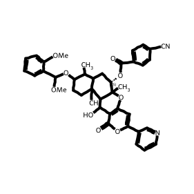 COc1ccccc1C(OC)OC1CCC2(C)C(C[C@H](OC(=O)c3ccc(C#N)cc3)C3(C)Oc4cc(-c5cccnc5)oc(=O)c4C(O)C23)C1C